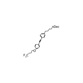 CCCCCCCCCCCCCCc1ccc(C#Cc2ccc(OCCCC(F)(F)F)cc2)cc1